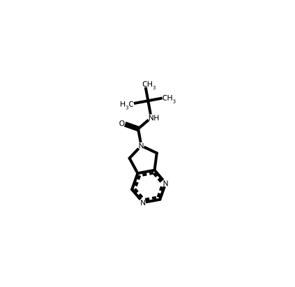 CC(C)(C)NC(=O)N1Cc2cncnc2C1